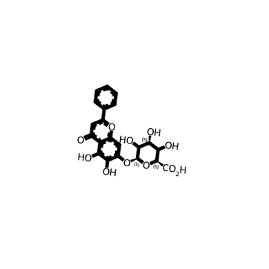 O=C(O)[C@H]1O[C@@H](Oc2cc3oc(-c4ccccc4)cc(=O)c3c(O)c2O)C(O)[C@@H](O)C1O